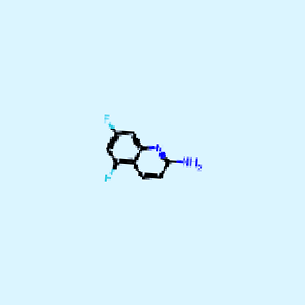 Nc1ccc2c(F)cc(F)cc2n1